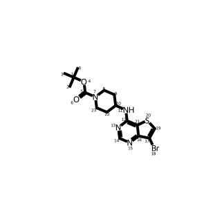 CC(C)(C)OC(=O)N1CCC(Nc2ncnc3c(Br)csc23)CC1